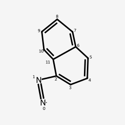 [N]=Nc1cccc2ccccc12